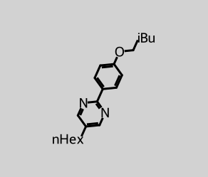 CCCCCCc1cnc(-c2ccc(OCC(C)CC)cc2)nc1